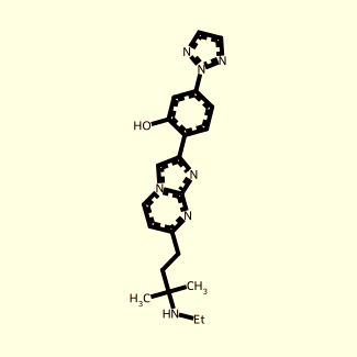 CCNC(C)(C)CCc1ccn2cc(-c3ccc(-n4nccn4)cc3O)nc2n1